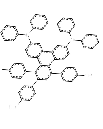 Cc1ccc(-c2cc(-c3ccc(C)cc3)c3c4ccc(N(c5ccccc5)c5ccccc5)cc4c4cc(N(c5ccccc5)c5ccccc5)ccc4c3c2-c2ccc(C)cc2)cc1